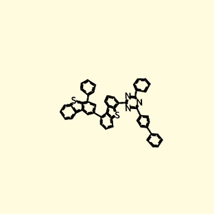 c1ccc(-c2ccc(-c3nc(-c4ccccc4)nc(-c4cccc5c4sc4cccc(-c6cc(-c7ccccc7)c7sc8ccccc8c7c6)c45)n3)cc2)cc1